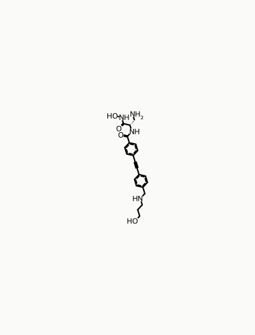 NC[C@H](NC(=O)c1ccc(C#Cc2ccc(CNCCCO)cc2)cc1)C(=O)NO